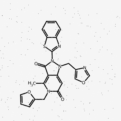 Cc1c2c(=O)n(-c3nc4ccccc4s3)n(Cc3cocn3)c2cc(=O)n1Cc1ccco1